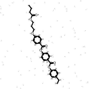 CCCC(=O)OCCCOc1ccc(C(=O)Oc2ccc(C(=O)Oc3ccc(CC)cc3)cc2)cc1